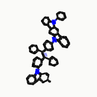 CC1C=Cc2c(c3ccccc3n2-c2cccc(/C(=C(\c3ccccc3)c3ccc(-n4c5ccccc5c5cc6c(cc54)c4ccccc4n6-c4ccccc4)cc3)c3ccccc3)c2)C1